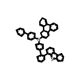 C1=C2C(=CCC1)C1CC(N(c3ccc(-c4ccccc4)cc3)c3ccc(-c4ccccc4-c4cccc5c4sc4ccccc45)cc3)=CC=C1c1ccccc12